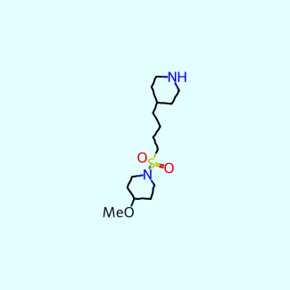 COC1CCN(S(=O)(=O)CCCCC2CCNCC2)CC1